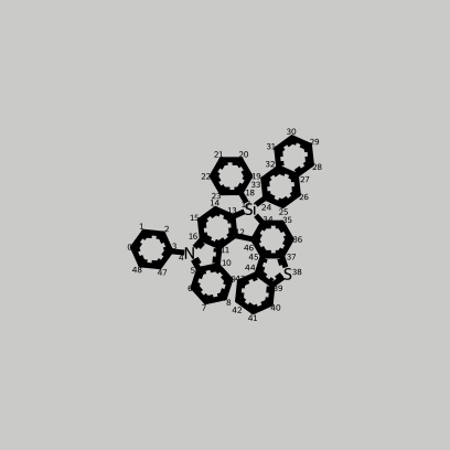 c1ccc(-n2c3ccccc3c3c4c(ccc32)[Si](c2ccccc2)(c2ccc3ccccc3c2)c2ccc3sc5ccccc5c3c2-4)cc1